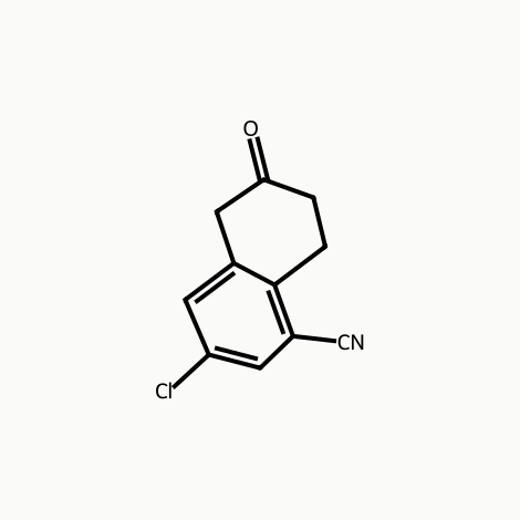 N#Cc1cc(Cl)cc2c1CCC(=O)C2